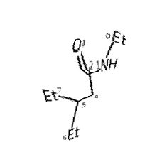 CCNC(=O)CC(CC)CC